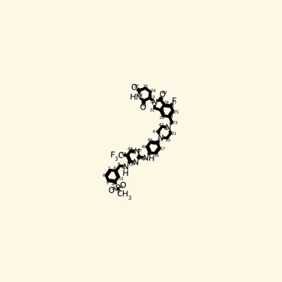 CS(=O)(=O)c1cccc(CNc2nc(Nc3ccc(N4CCN(Cc5cc(F)c6c(c5)CN(C5CCC(=O)NC5=O)C6=O)CC4)cc3)ncc2C(F)(F)F)c1